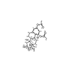 CC(=O)Oc1cc2c(c(OC(C)=O)c1)[C@H]1CC[C@]3(C)[C@@H]4O[C@@H]4C[C@H]3[C@H]1CC2